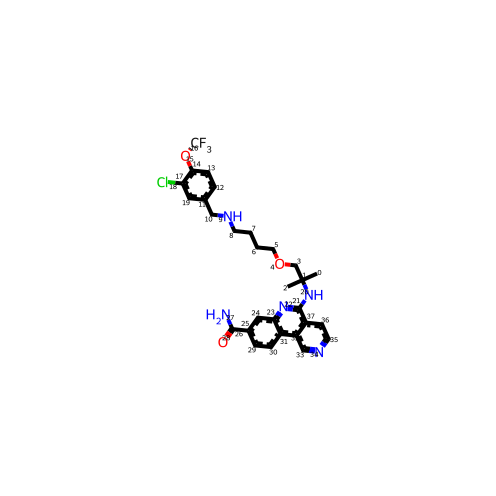 CC(C)(COCCCCNCc1ccc(OC(F)(F)F)c(Cl)c1)Nc1nc2cc(C(N)=O)ccc2c2cnccc12